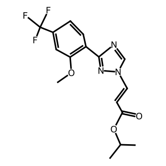 COc1cc(C(F)(F)F)ccc1-c1ncn(C=CC(=O)OC(C)C)n1